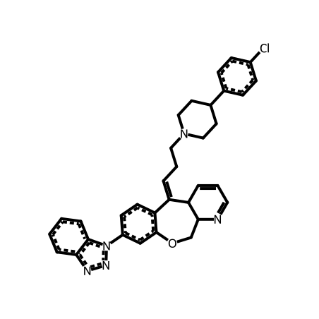 Clc1ccc(C2CCN(CCC=C3c4ccc(-n5nnc6ccccc65)cc4OCC4N=CC=CC34)CC2)cc1